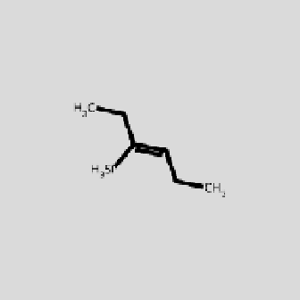 CCC=C([SiH3])CC